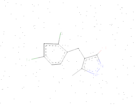 Cc1[nH]nc(O)c1Cc1ccc(Br)cc1F